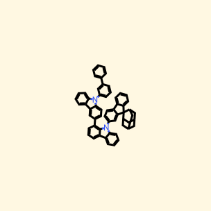 c1ccc(-c2cccc(-n3c4ccccc4c4cc(-c5cccc6c7ccccc7n(-c7ccc8c(c7)C7(c9ccccc9-8)C8CC9CC(C8)CC7C9)c56)ccc43)c2)cc1